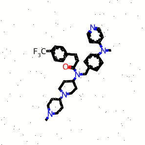 CN1CCC(N2CCC(N(Cc3ccc(N(C)c4ccncc4)cc3)C(=O)C=Cc3ccc(C(F)(F)F)cc3)CC2)CC1